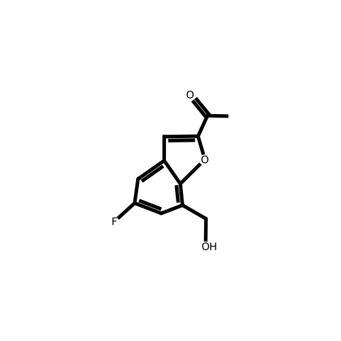 CC(=O)c1cc2cc(F)cc(CO)c2o1